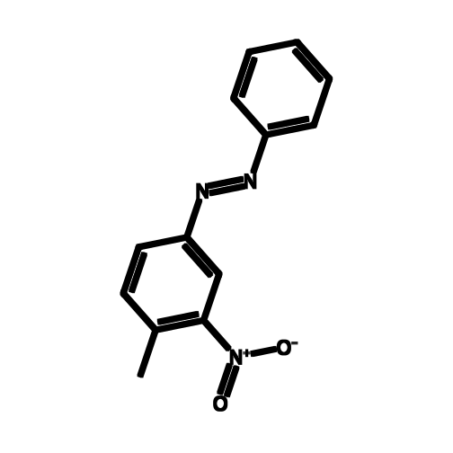 Cc1ccc(N=Nc2ccccc2)cc1[N+](=O)[O-]